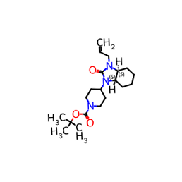 C=CCN1C(=O)N(C2CCN(C(=O)OC(C)(C)C)CC2)[C@H]2CCCC[C@@H]21